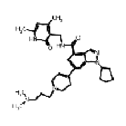 Cc1cc(C)c(CNC(=O)c2cc(C3=CCN(CCCN(C)C)CC3)cc3c2cnn3C2CCCC2)c(=O)[nH]1